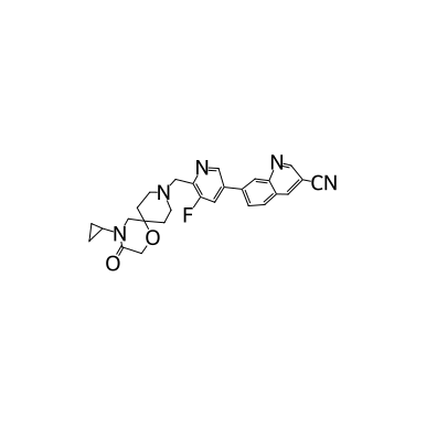 N#Cc1cnc2cc(-c3cnc(CN4CCC5(CC4)CN(C4CC4)C(=O)CO5)c(F)c3)ccc2c1